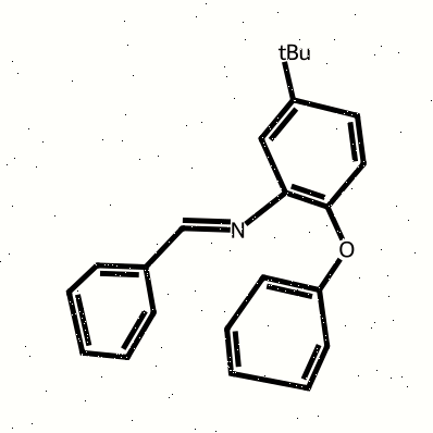 CC(C)(C)c1ccc(Oc2ccccc2)c(N=Cc2ccccc2)c1